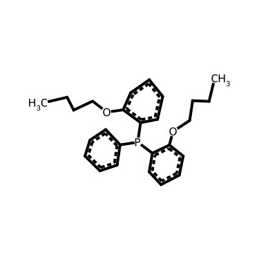 CCCCOc1ccccc1P(c1ccccc1)c1ccccc1OCCCC